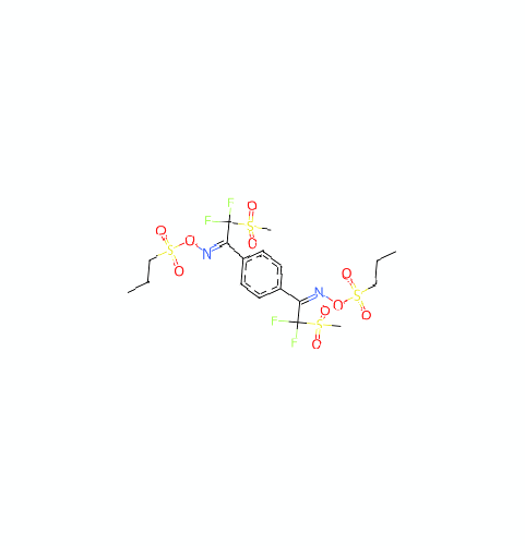 CCCS(=O)(=O)ON=C(c1ccc(C(=NOS(=O)(=O)CCC)C(F)(F)S(C)(=O)=O)cc1)C(F)(F)S(C)(=O)=O